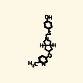 Cc1ccc(O[C@H]2C[C@@H]3CN(CSc4ccc(O)cc4)C[C@@H]3C2)cn1